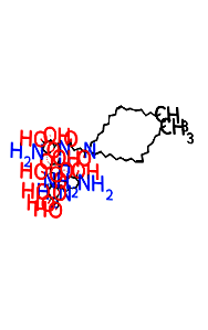 CCCCCCCC/C=C\CCCCCCCCN(CCCCCCCC/C=C\CCCCCCCC)C(=O)CCC(=O)NCC1O[C@H](O[C@@H]2C(O)[C@H](O[C@@H]3C(O)[C@H](N)CC(N)[C@H]3O[C@H]3OC(CO)[C@@H](O)[C@H](O)C3N)O[C@@H]2CO)[C@H](N)C(O)[C@@H]1O